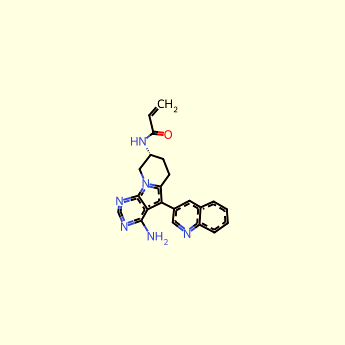 C=CC(=O)N[C@@H]1CCc2c(-c3cnc4ccccc4c3)c3c(N)ncnc3n2C1